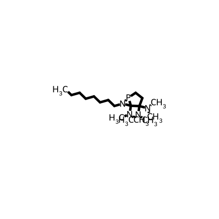 CCCCCCCCN1P2CCC(N(C)C)(N(C)C)C12N(C)C